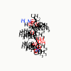 C=CC=C[C@H](C)[C@H](OC(N)=O)[C@@H](C)[C@H](O[Si](C)(C)C(C)(C)C)[C@@H](C)CC(C)=C[C@H](C)[C@@H](O[Si](C)(C)C(C)(C)C)[C@@H](C)C=C[C@@H](O)C[C@H](O)[C@H](C)[C@H](O[Si](C)(C)C(C)(C)C)[C@@H](C)C(=O)N(C)OC